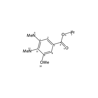 CNc1cc(C(=O)OC(C)C)cc(OC)c1NC